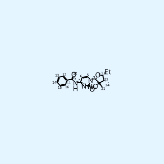 CC[C@H]1O[C@@H](n2ccc(NC(=O)c3ccccc3)nc2=O)C(C)(O)[C@H]1C